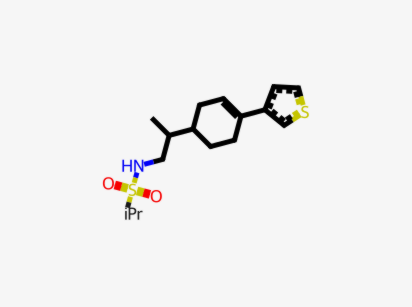 CC(CNS(=O)(=O)C(C)C)C1CC=C(c2ccsc2)CC1